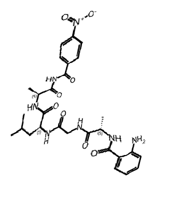 CC(C)C[C@H](NC(=O)CNC(=O)[C@H](C)NC(=O)c1ccccc1N)C(=O)N[C@@H](C)C(=O)NC(=O)c1ccc([N+](=O)[O-])cc1